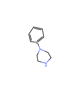 c1cc[si](N2CCNCC2)cc1